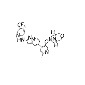 Cc1cc(-c2ccn3nc(Nc4ccc(C(F)(F)F)cn4)cc3c2)c(O[C@H]2C[C@H]3COC[C@@H](C2)N3)cn1